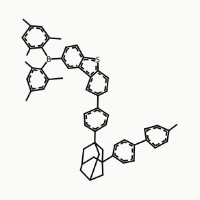 Cc1ccc(-c2ccc(C34CC5CC(C3)CC(c3ccc(-c6ccc7sc8ccc(B(c9c(C)cc(C)cc9C)c9c(C)cc(C)cc9C)cc8c7c6)cc3)(C5)C4)cc2)cc1